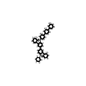 C1=CCCC(n2c3ccccc3c3cc(-c4ccc5c(c4)c4ccccc4n5-c4ccc(-c5ccc(-c6ccccc6)cc5)cc4)ccc32)=C1